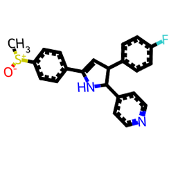 C[S+]([O-])c1ccc(C2=CC(c3ccc(F)cc3)C(c3ccncc3)N2)cc1